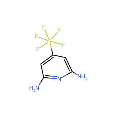 Nc1cc(S(F)(F)(F)(F)F)cc(N)n1